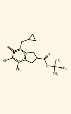 Cc1c2c(n(CC3CC3)c(=O)c1Cl)CN(C(=O)OC(C)(C)C)C2